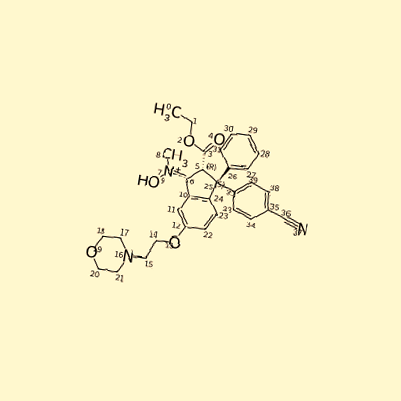 CCOC(=O)[C@H]1C(=[N+](C)O)c2cc(OCCN3CCOCC3)ccc2[C@@]1(c1ccccc1)c1ccc(C#N)cc1